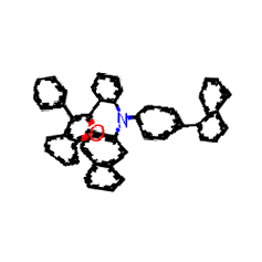 c1ccc(-c2c(-c3ccccc3N(c3ccc(-c4cccc5ccccc45)cc3)c3ccc4ccccc4c3)oc3ccccc23)cc1